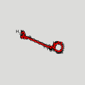 CO[C@H]1C[C@@H]2CC[C@@H](C)[C@@](O)(O2)C(=O)C(=O)N2CCCC[C@H]2C(=O)O[C@H]([C@H](N)C[C@@H]2CC[C@@H](OC(=S)NCCOCCOCCOCCOCCOCCOCCOCCOCCC(=O)NCc3ccc(Cn4nc(-c5ccc6oc(N)nc6c5)c5c(N)ncnc54)cc3)[C@H](OC)C2)C[C@@H](O)[C@H](C)/C=C(\C)[C@@H](O)[C@@H](O)C(=O)[C@H](C)C[C@H](C)/C=C/C=C/C=C/1C